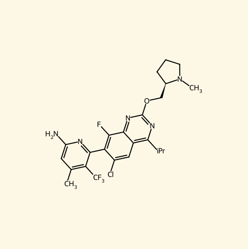 Cc1cc(N)nc(-c2c(Cl)cc3c(C(C)C)nc(OC[C@H]4CCCN4C)nc3c2F)c1C(F)(F)F